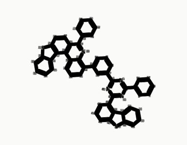 c1ccc(-c2nc(-c3cccc(-c4cccc5c4nc(-c4ccccc4)c4ccc6sc7ccccc7c6c45)c3)nc(-c3cccc4sc5ccccc5c34)n2)cc1